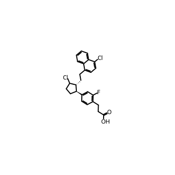 O=C(O)CCc1ccc([C@H]2CCC(Cl)[C@@H]2CCc2ccc(Cl)c3ccccc23)cc1F